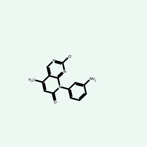 Cc1cc(=O)n(-c2cccc(N)c2)c2nc(Cl)ncc12